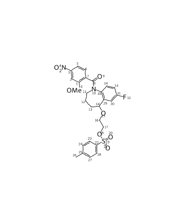 COc1cc([N+](=O)[O-])ccc1C(=O)N1CCCC(OCCOS(=O)(=O)c2ccc(C)cc2)c2cc(F)ccc21